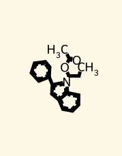 CCC(OC(C)=O)n1c(-c2ccccc2)cc2ccccc21